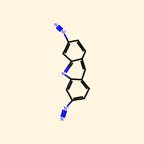 N#[N+]c1ccc2cc3ccc([N+]#N)cc3nc2c1